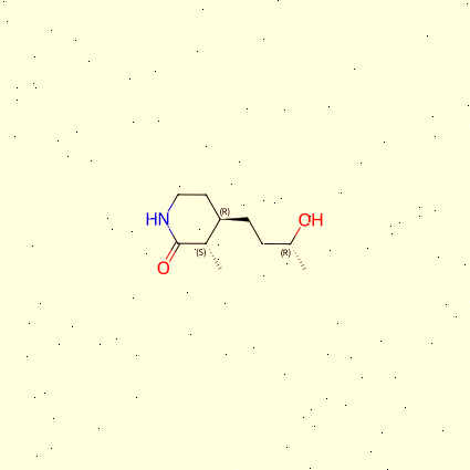 C[C@@H]1C(=O)NCC[C@H]1CC[C@@H](C)O